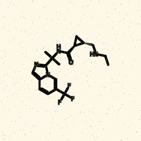 CCNC[C@H]1C[C@@H]1C(=O)NC(C)(C)c1ncc2ccc(C(F)(F)F)cn12